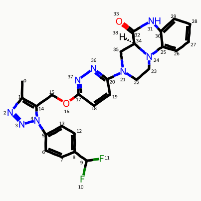 Cc1nnn(-c2ccc(C(F)F)cc2)c1COc1ccc(N2CCN3c4ccccc4NC(=O)[C@@H]3C2)nn1